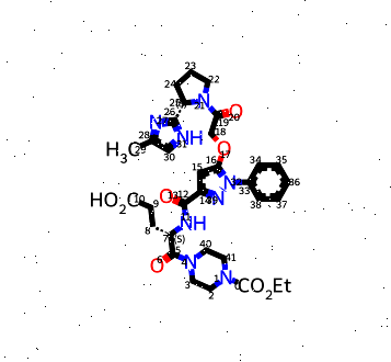 CCOC(=O)N1CCN(C(=O)[C@H](CCC(=O)O)NC(=O)c2cc(OCC(=O)N3CCC[C@H]3c3nc(C)c[nH]3)n(-c3ccccc3)n2)CC1